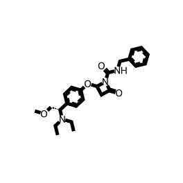 CCN(CC)[C@H](COC)c1ccc(OC2CC(=O)N2C(=O)NCc2ccccc2)cc1